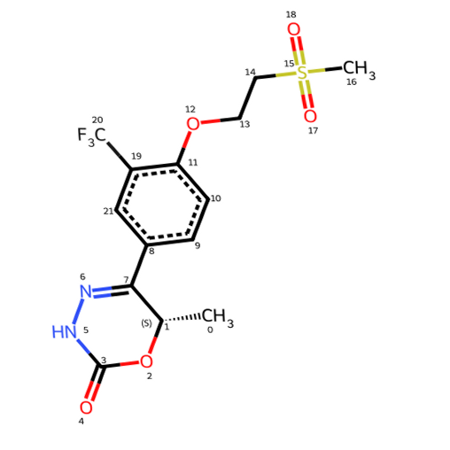 C[C@@H]1OC(=O)NN=C1c1ccc(OCCS(C)(=O)=O)c(C(F)(F)F)c1